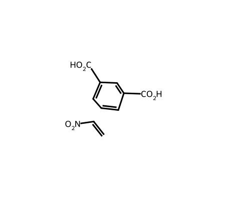 C=C[N+](=O)[O-].O=C(O)c1cccc(C(=O)O)c1